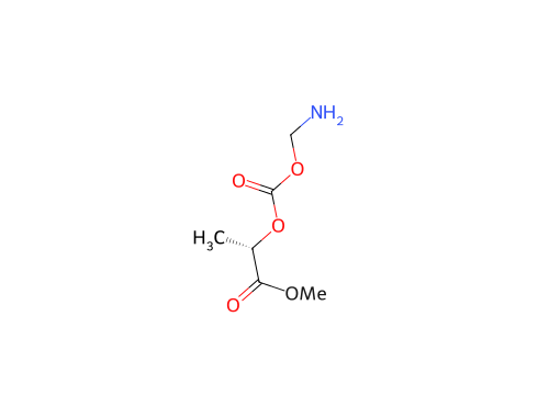 COC(=O)[C@H](C)OC(=O)OCN